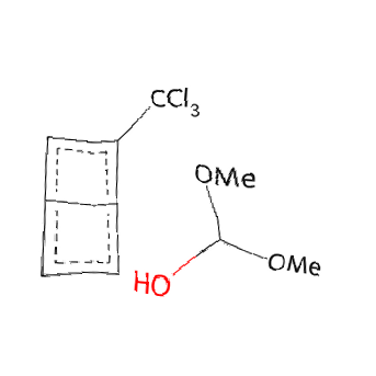 COC(O)OC.ClC(Cl)(Cl)c1cc2ccc1-2